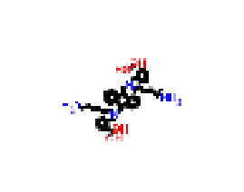 NCCCCCCN(Cc1ccccc1B(O)O)Cc1c2ccccc2c(CN(CCCCCCN)Cc2ccccc2B(O)O)c2ccccc12